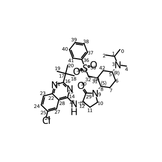 CC(C)N(C)[C@@H]1CC[C@H](N2CC[C@H](Nc3nc(C(C)(C)C)nc4ccc(Cl)cc34)C2=O)[C@@H](CS(=O)(=O)c2ccccc2)C1